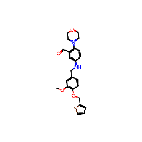 COc1cc(CNc2ccc(N3CCOCC3)c(C=O)c2)ccc1OCc1cccs1